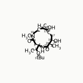 C[C@@H](OC(C)(C)C)[C@H]1CC(=O)N(C)CCC[C@@](C)(O)CC[C@H](O)[C@@H](C)C(=O)N1